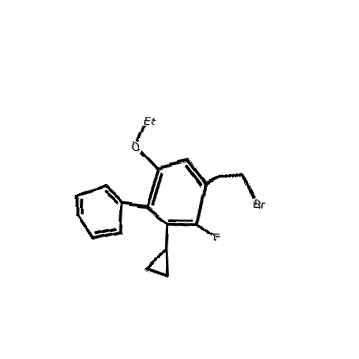 CCOc1cc(CBr)c(F)c(C2CC2)c1-c1ccccc1